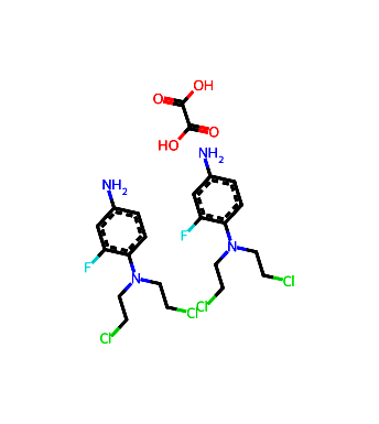 Nc1ccc(N(CCCl)CCCl)c(F)c1.Nc1ccc(N(CCCl)CCCl)c(F)c1.O=C(O)C(=O)O